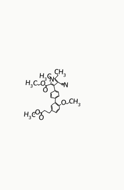 CCOC(=O)c1c(-c2ccc(-c3cc(CCC(=O)OC)ccc3OCC)cc2)c(C#N)c(CC)n1C